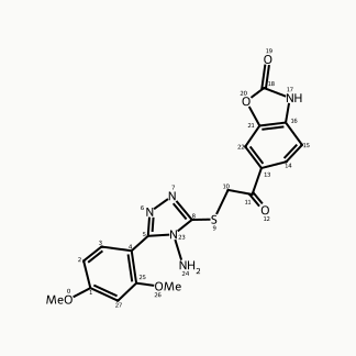 COc1ccc(-c2nnc(SCC(=O)c3ccc4[nH]c(=O)oc4c3)n2N)c(OC)c1